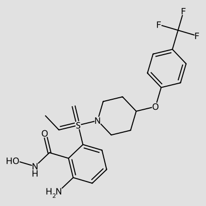 C=S(=CC)(c1cccc(N)c1C(=O)NO)N1CCC(Oc2ccc(C(F)(F)F)cc2)CC1